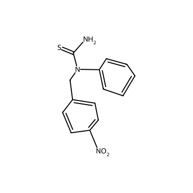 NC(=S)N(Cc1ccc([N+](=O)[O-])cc1)c1ccccc1